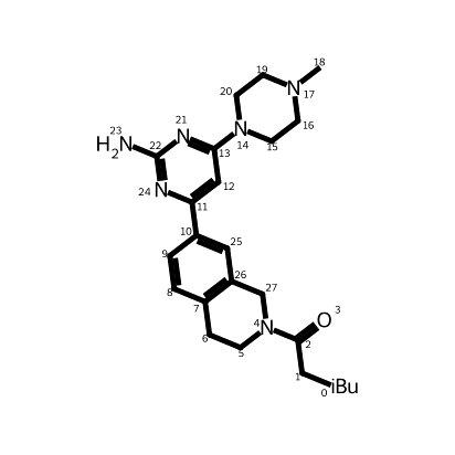 CCC(C)CC(=O)N1CCc2ccc(-c3cc(N4CCN(C)CC4)nc(N)n3)cc2C1